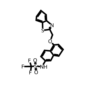 O=S(=O)(Nc1ccc2c(OCc3nc4ccccc4s3)cccc2c1)C(F)(F)F